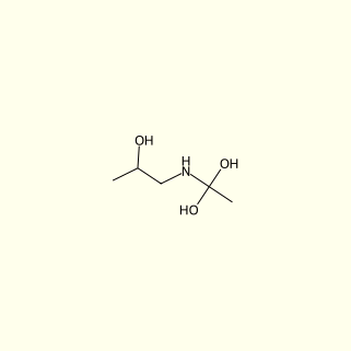 CC(O)CNC(C)(O)O